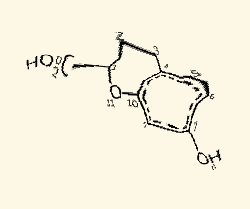 O=C(O)C1CCc2ccc(O)cc2O1